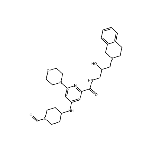 O=CN1CCC(Nc2cc(C(=O)NCC(O)CN3CCc4ccccc4C3)nc(N3CCOCC3)c2)CC1